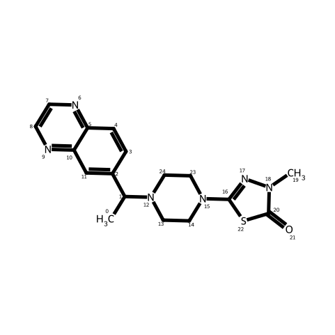 CC(c1ccc2nccnc2c1)N1CCN(c2nn(C)c(=O)s2)CC1